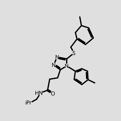 Cc1ccc(-n2c(CCC(=O)NCC(C)C)nnc2SCC2=CC=CC(C)C2)cc1